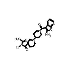 CCN1C(=O)C2(CCCN(C3CCN(C(=O)c4c(N)sc5ncccc45)CC3)C2)N=C1C